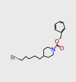 O=C(OCc1ccccc1)N1CCC(CCCCCBr)CC1